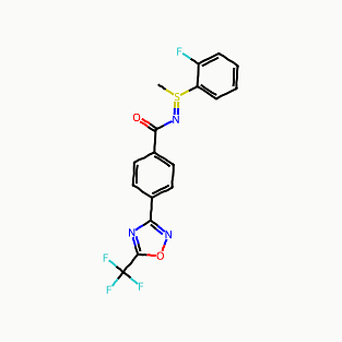 C/S(=N\C(=O)c1ccc(-c2noc(C(F)(F)F)n2)cc1)c1ccccc1F